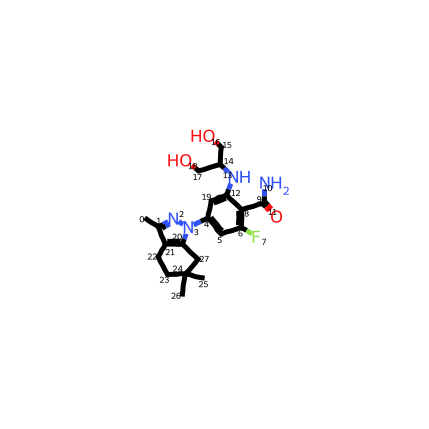 Cc1nn(-c2cc(F)c(C(N)=O)c(NC(CO)CO)c2)c2c1CCC(C)(C)C2